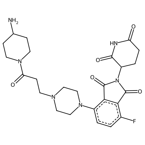 NC1CCN(C(=O)CCN2CCN(c3ccc(F)c4c3C(=O)N(C3CCC(=O)NC3=O)C4=O)CC2)CC1